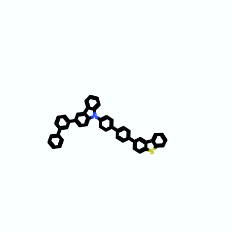 C1=C(c2ccc(-c3ccc4sc5ccccc5c4c3)cc2)CCC(n2c3ccccc3c3cc(-c4cccc(-c5ccccc5)c4)ccc32)=C1